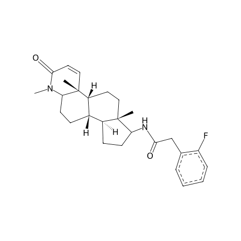 CN1C(=O)C=C[C@@]2(C)C1CC[C@@H]1[C@H]2CC[C@]2(C)C(NC(=O)Cc3ccccc3F)CC[C@@H]12